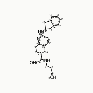 C#CCCNC(C=O)N1CCc2nc(NC3Cc4ccccc4C3)ncc2C1